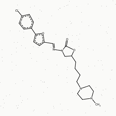 CN1CCN(CCCCC2CN(N=Cc3ccc(-c4ccc(Cl)cc4)o3)C(=O)O2)CC1